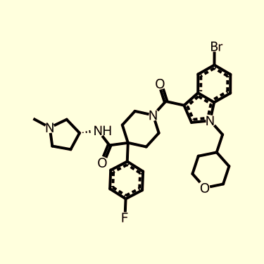 CN1CC[C@@H](NC(=O)C2(c3ccc(F)cc3)CCN(C(=O)c3cn(CC4CCOCC4)c4ccc(Br)cc34)CC2)C1